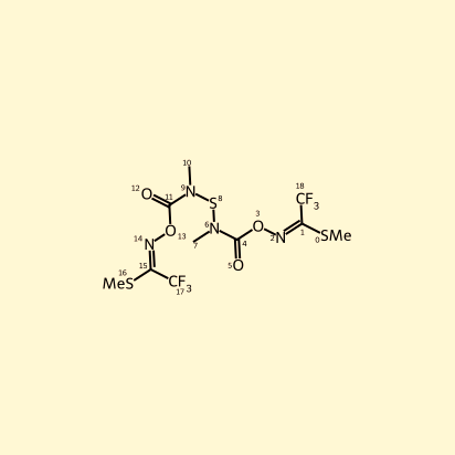 CSC(=NOC(=O)N(C)SN(C)C(=O)ON=C(SC)C(F)(F)F)C(F)(F)F